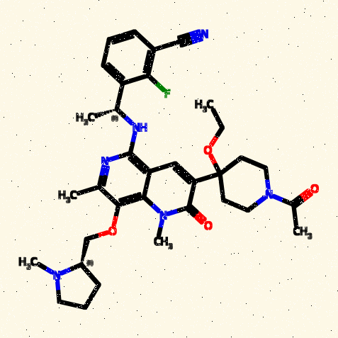 CCOC1(c2cc3c(N[C@H](C)c4cccc(C#N)c4F)nc(C)c(OC[C@H]4CCCN4C)c3n(C)c2=O)CCN(C(C)=O)CC1